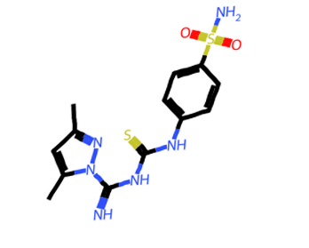 Cc1cc(C)n(C(=N)NC(=S)Nc2ccc(S(N)(=O)=O)cc2)n1